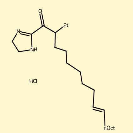 CCCCCCCCC=CCCCCCCC(CC)C(=O)C1=NCCN1.Cl